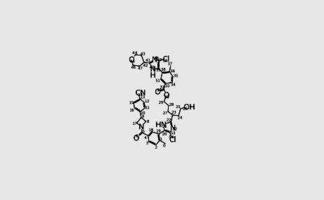 Cc1ccc(C(=O)N2CC(c3ccc(C#N)cc3)C2)cc1-c1[nH]c(C(CCO)CCCOC(=O)c2ccc(C)c(-c3[nH]c(C4CCOCC4)nc3Cl)c2)nc1Cl